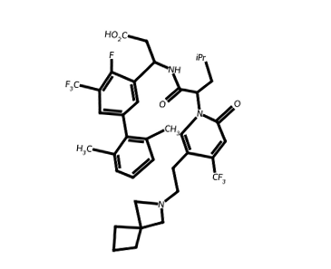 Cc1cccc(C)c1-c1cc(C(CC(=O)O)NC(=O)C(CC(C)C)n2cc(CCN3CC4(CCC4)C3)c(C(F)(F)F)cc2=O)c(F)c(C(F)(F)F)c1